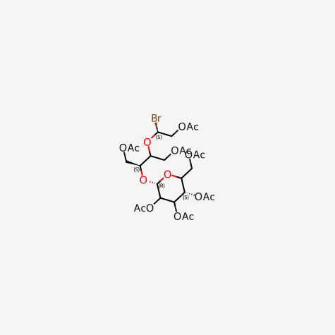 CC(=O)OCC1O[C@@H](O[C@@H](COC(C)=O)C(COC(C)=O)O[C@@H](Br)COC(C)=O)C(OC(C)=O)C(OC(C)=O)[C@H]1OC(C)=O